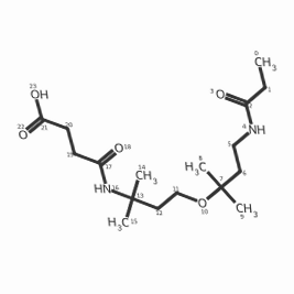 CCC(=O)NCCC(C)(C)OCCC(C)(C)NC(=O)CCC(=O)O